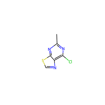 Cc1nc(Cl)c2ncsc2n1